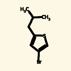 CC(C)Cc1cc(Br)cs1